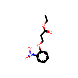 CCOC(=O)CCOc1ccccc1[N+](=O)[O-]